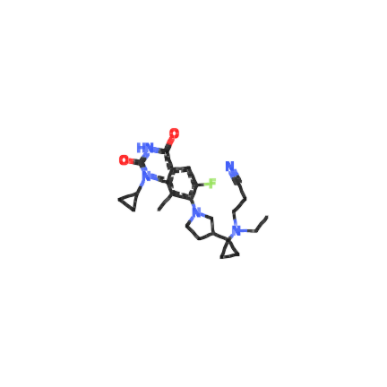 CCN(CCC#N)C1(C2CCN(c3c(F)cc4c(=O)[nH]c(=O)n(C5CC5)c4c3C)C2)CC1